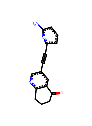 Nc1cccc(C#Cc2cnc3c(c2)C(=O)CCC3)n1